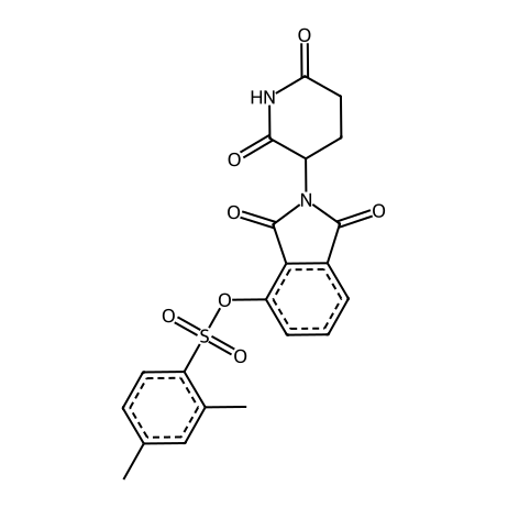 Cc1ccc(S(=O)(=O)Oc2cccc3c2C(=O)N(C2CCC(=O)NC2=O)C3=O)c(C)c1